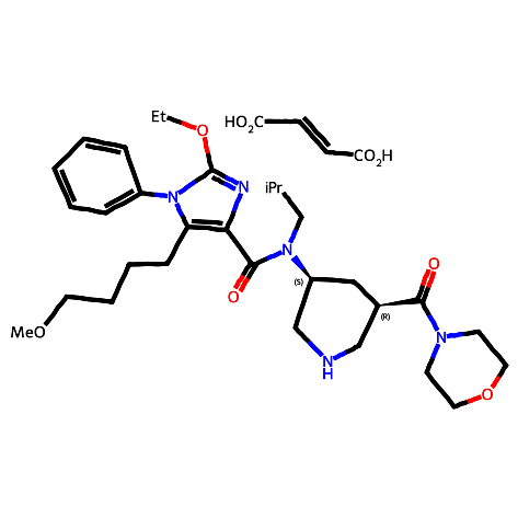 CCOc1nc(C(=O)N(CC(C)C)[C@@H]2CNC[C@H](C(=O)N3CCOCC3)C2)c(CCCCOC)n1-c1ccccc1.O=C(O)C=CC(=O)O